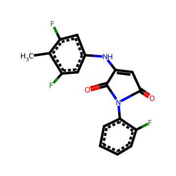 Cc1c(F)cc(NC2=CC(=O)N(c3ccccc3F)C2=O)cc1F